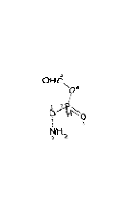 NO[PH](=O)OC=O